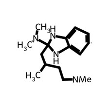 CNCCC(C)CC1(N(C)C)Nc2c[c]ccc2N1